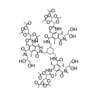 CC(=O)OCC(OC(C)=O)C(OC(C)=O)C(=O)Nc1c(I)c(C(=O)NCC2CC(CNC(=O)c3c(I)c(NC(=O)C(OC(C)=O)C(COC(C)=O)OC(C)=O)c(I)c(C(=O)N(C)CC(O)CO)c3I)CC(CNC(=O)c3c(I)c(NC(=O)C(OC(C)=O)C(COC(C)=O)OC(C)=O)c(I)c(C(=O)N(C)CC(O)CO)c3I)C2)c(I)c(C(=O)N(C)CC(O)CO)c1I